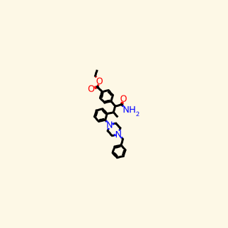 CCOC(=O)c1ccc(C(C(N)=O)C(C)c2ccccc2N2CCN(Cc3ccccc3)CC2)cc1